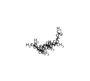 CC(=O)OCCOC(C)(C)CCOC(C)(C)C(C)(C)CC(C)OC(C)C(C)(C)CCOC(C)N